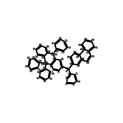 c1ccc(N(c2ccc3c(c2)N(c2ccccc2)c2ccccc2[Si]3(c2ccccc2)c2ccccc2)c2ccc3c(ccc4ccccc43)c2)cc1